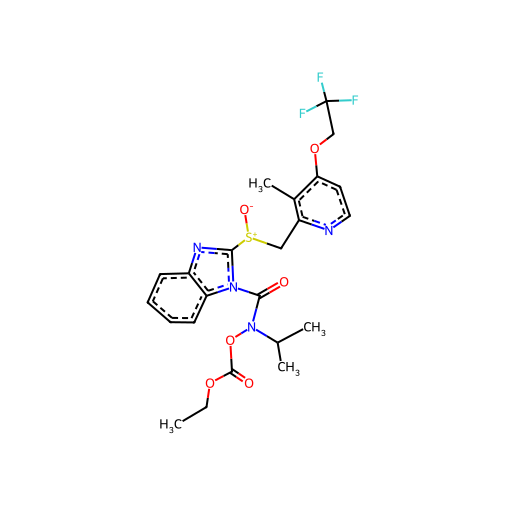 CCOC(=O)ON(C(=O)n1c([S+]([O-])Cc2nccc(OCC(F)(F)F)c2C)nc2ccccc21)C(C)C